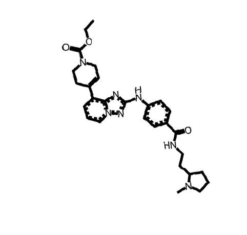 CCOC(=O)N1CC=C(c2cccn3nc(Nc4ccc(C(=O)NCCC5CCCN5C)cc4)nc23)CC1